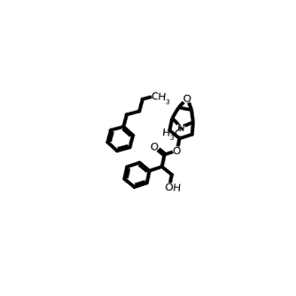 CCCCc1ccccc1.CN1C2CC(OC(=O)C(CO)c3ccccc3)CC1C1OC12